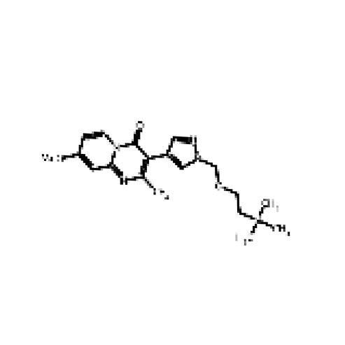 COc1ccn2c(=O)c(-c3cnn(COCC[Si](C)(C)C)c3)c(C(F)(F)F)nc2c1